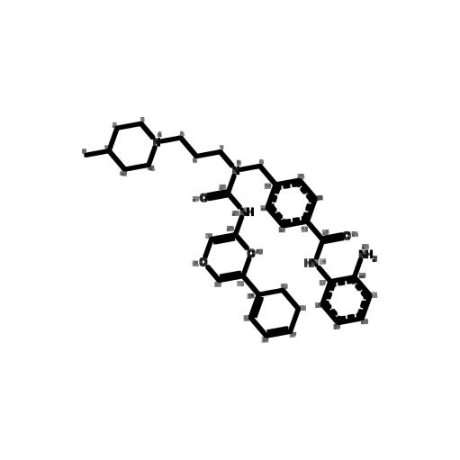 CC1CCN(CCCN(Cc2ccc(C(=O)Nc3ccccc3N)cc2)C(=O)NC2=COC=C(C3=CC=CCC3)O2)CC1